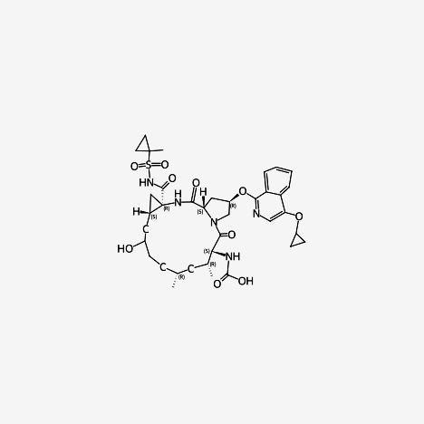 C[C@@H]1CCC(O)C[C@@H]2C[C@@]2(C(=O)NS(=O)(=O)C2(C)CC2)NC(=O)[C@@H]2C[C@@H](Oc3ncc(OC4CC4)c4ccccc34)CN2C(=O)[C@@H](NC(=O)O)[C@H](C)C1